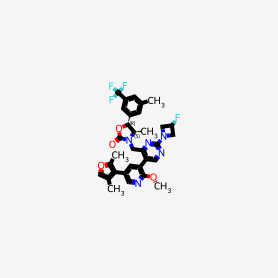 COc1ncc(-c2c(C)coc2C)cc1-c1cnc(N2CC(F)C2)nc1CN1C(=O)O[C@H](c2cc(C)cc(C(F)(F)F)c2)[C@@H]1C